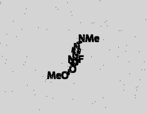 CNCCN1CCN(c2ncc(OCCOC)cc2F)CC1